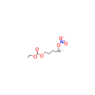 C[CH]OC(=O)OCCCC[C@@H](C)O[N+](=O)[O-]